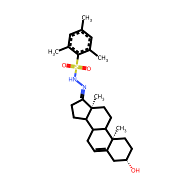 Cc1cc(C)c(S(=O)(=O)N/N=C2\CCC3C4CC=C5C[C@@H](O)CC[C@]5(C)C4CC[C@]23C)c(C)c1